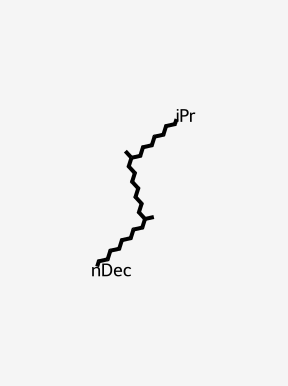 CCCCCCCCCCCCCCCCCCC(C)CCCCCCCC(C)CCCCCCCC(C)C